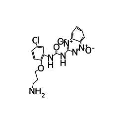 NCCCOc1ccc(Cl)cc1NC(=O)Nc1n[n+]([O-])c2ccccc2[n+]1[O-]